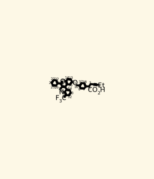 CCC#CCC(C(=O)O)c1ccc(COc2cccc(-c3c(C(=O)c4ccccc4)cnc4c(C(F)(F)F)cccc34)c2)cc1